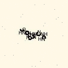 C=CC(=O)Nc1ccnc(-c2nccc3cnc(Nc4ccc(N[C@@H]5CCNC5)nc4)nc23)c1